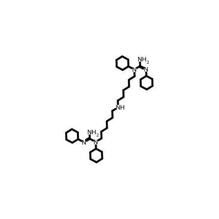 NC(=NC1CCCCC1)N(CCCCCCNCCCCCCN(C(N)=NC1CCCCC1)C1CCCCC1)C1CCCCC1